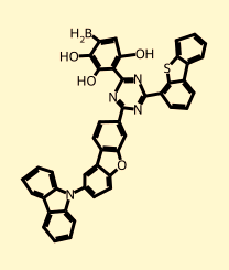 Bc1cc(O)c(-c2nc(-c3ccc4c(c3)oc3ccc(-n5c6ccccc6c6ccccc65)cc34)nc(-c3cccc4c3sc3ccccc34)n2)c(O)c1O